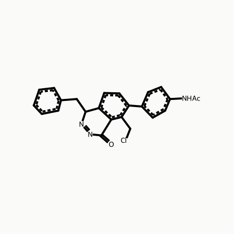 CC(=O)Nc1ccc(-c2ccc3c(c2CCl)C(=O)N=NC3Cc2ccccc2)cc1